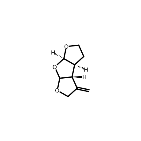 C=C1COC2O[C@H]3OCC[C@H]3[C@H]12